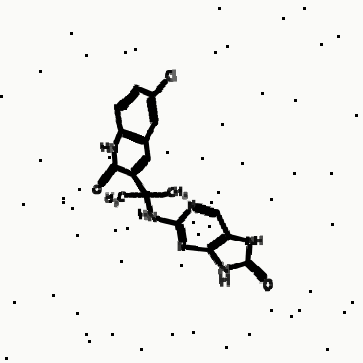 CC(C)(Nc1ncc2[nH]c(=O)[nH]c2n1)c1cc2cc(Cl)ccc2[nH]c1=O